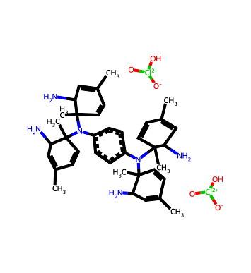 CC1=CC(N)C(C)(N(c2ccc(N(C3(C)C=CC(C)=CC3N)C3(C)C=CC(C)=CC3N)cc2)C2(C)C=CC(C)=CC2N)C=C1.[O-][Cl+2]([O-])O.[O-][Cl+2]([O-])O